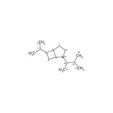 CC(C)C1CC2C1CCN2C(C)C(C)C